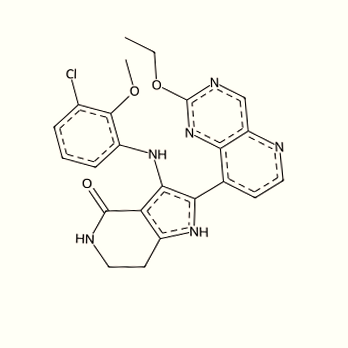 CCOc1ncc2nccc(-c3[nH]c4c(c3Nc3cccc(Cl)c3OC)C(=O)NCC4)c2n1